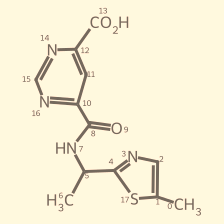 Cc1cnc(C(C)NC(=O)c2cc(C(=O)O)ncn2)s1